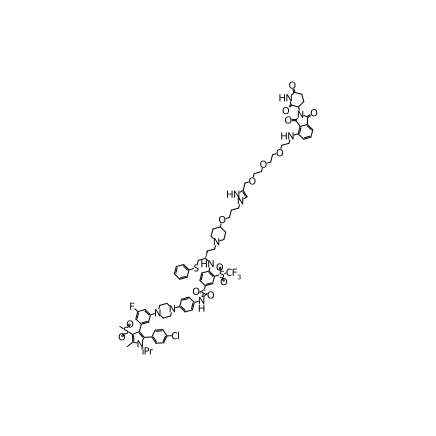 Cc1c(S(C)(=O)=O)c(-c2cc(F)cc(N3CCN(c4ccc(NS(=O)(=O)c5ccc(N[C@H](CCN6CCC(OCCCn7cc(COCCOCCOCCNc8cccc9c8C(=O)N(C8CCC(=O)NC8=O)C9=O)[nH]7)CC6)CSc6ccccc6)c(S(=O)(=O)C(F)(F)F)c5)cc4)CC3)c2)c(-c2ccc(Cl)cc2)n1C(C)C